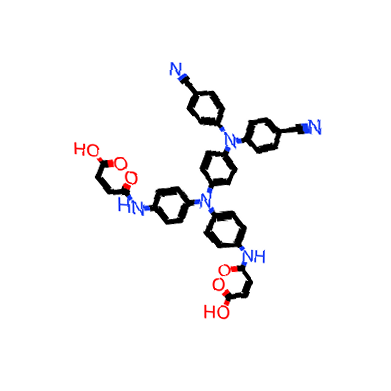 N#Cc1ccc(N(c2ccc(C#N)cc2)c2ccc(N(c3ccc(NC(=O)/C=C\C(=O)O)cc3)c3ccc(NC(=O)/C=C\C(=O)O)cc3)cc2)cc1